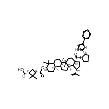 C=C(C)[C@@H]1CC[C@]2(C(=O)N3CCC[C@H]3c3nc(-c4ccccc4)c[nH]3)CC[C@]3(C)[C@H](CCC4[C@@]5(C)CC[C@H](OC(=O)[C@H]6C[C@@H](C(=O)O)C6(C)C)C(C)(C)C5CC[C@]43C)C12